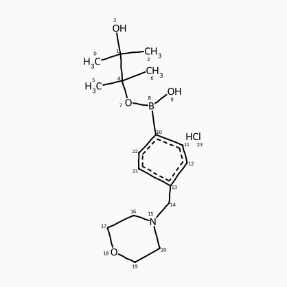 CC(C)(O)C(C)(C)OB(O)c1ccc(CN2CCOCC2)cc1.Cl